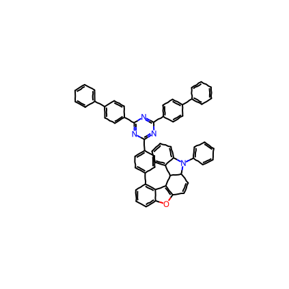 C1=CC2C(c3ccccc3N2c2ccccc2)c2c1oc1cccc(-c3ccc(-c4nc(-c5ccc(-c6ccccc6)cc5)nc(-c5ccc(-c6ccccc6)cc5)n4)cc3)c21